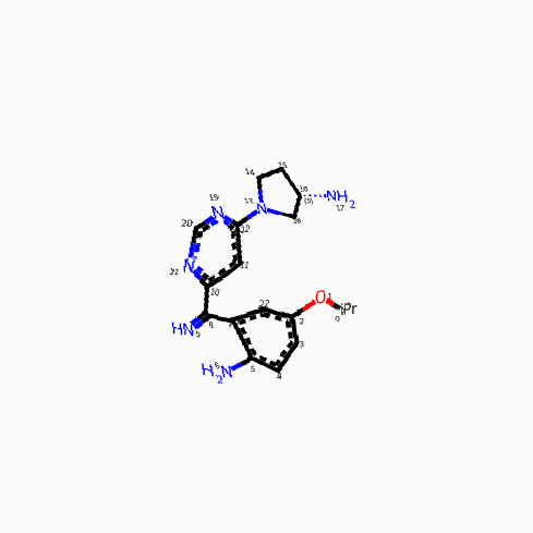 CC(C)Oc1ccc(N)c(C(=N)c2cc(N3CC[C@H](N)C3)ncn2)c1